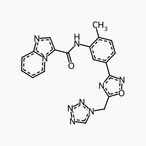 Cc1ccc(-c2noc(Cn3cnnn3)n2)cc1NC(=O)c1cnc2ccccn12